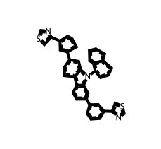 c1cc(-c2ccc3c4ccc(-c5cccc(-c6cscn6)c5)cc4n(-c4cccc5ccccc45)c3c2)cc(-c2cscn2)c1